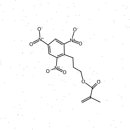 C=C(C)C(=O)OCCCc1c([N+](=O)[O-])cc([N+](=O)[O-])cc1[N+](=O)[O-]